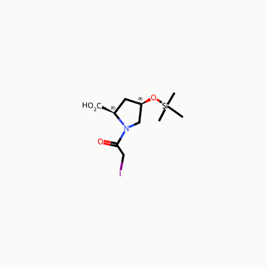 C[Si](C)(C)O[C@@H]1C[C@H](C(=O)O)N(C(=O)CI)C1